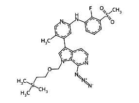 Cc1cnc(Nc2cccc(S(C)(=O)=O)c2F)cc1-c1cn(COCC[Si](C)(C)C)c2c(N=[N+]=[N-])nccc12